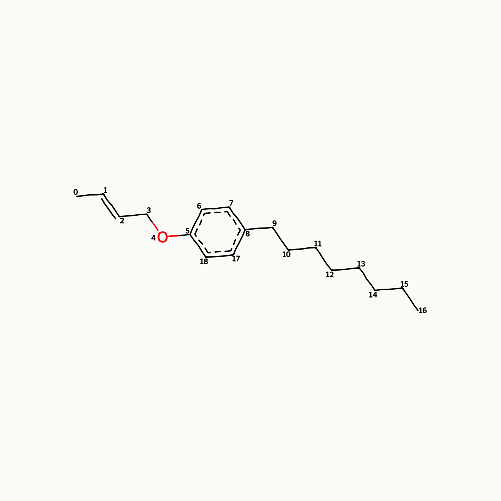 C/C=C/COc1ccc(CCCCCCCC)cc1